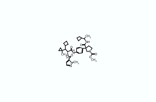 COC(=O)N1CCC(C(=O)NC(C)C2CCC2)(c2ccc(NC(=O)[C@@H](NC(=O)c3ccnn3C)C(C3CCC3)C3(C)CC3)cc2)C1